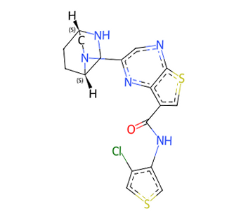 O=C(Nc1cscc1Cl)c1csc2ncc(N3C[C@@H]4CC[C@H]3CN4)nc12